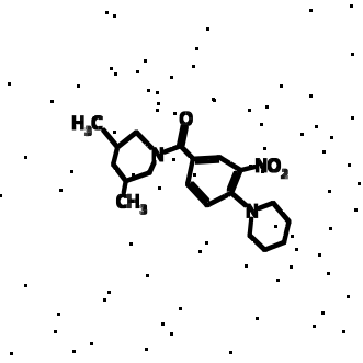 CC1CC(C)CN(C(=O)c2ccc(N3CCCCC3)c([N+](=O)[O-])c2)C1